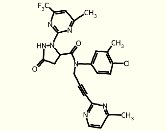 Cc1ccnc(C#CCN(C(=O)C2CC(=O)NN2c2nc(C)cc(C(F)(F)F)n2)c2ccc(Cl)c(C)c2)n1